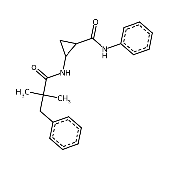 CC(C)(Cc1ccccc1)C(=O)NC1CC1C(=O)Nc1ccccc1